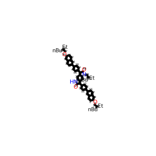 CCCCC(CC)COc1ccc2cc(-c3ccc(C4=c5cc6c(cc5NC4=O)=C(c4ccc(-c5ccc7cc(OCC(CC)CCCC)ccc7c5)cc4)C(=O)N6CC(CC)CCCC)cc3)ccc2c1